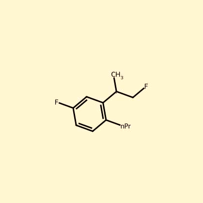 CCCc1ccc(F)cc1[C](C)CF